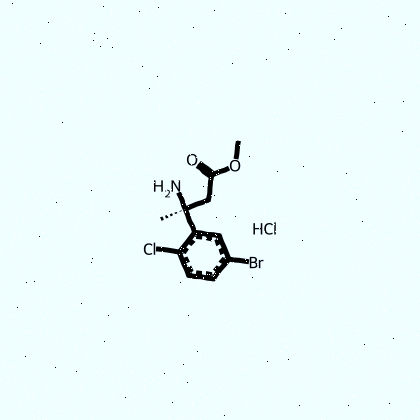 COC(=O)C[C@](C)(N)c1cc(Br)ccc1Cl.Cl